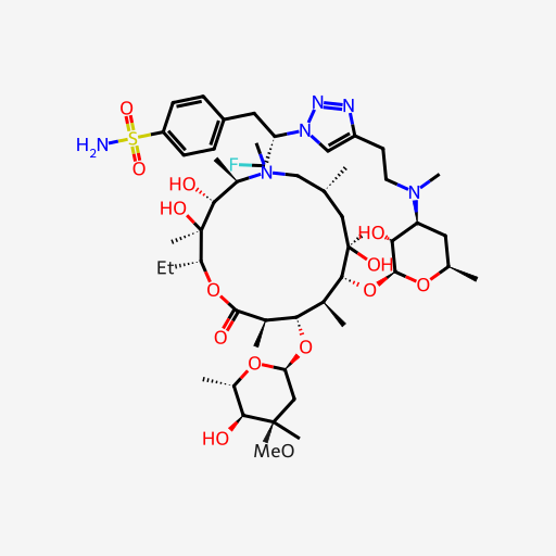 CC[C@H]1OC(=O)[C@H](C)[C@@H](O[C@H]2C[C@@](C)(OC)[C@@H](O)[C@H](C)O2)[C@H](C)[C@@H](O[C@@H]2O[C@H](C)C[C@H](N(C)CCc3cn([C@H](CF)Cc4ccc(S(N)(=O)=O)cc4)nn3)[C@H]2O)[C@](C)(O)C[C@@H](C)CN(C)[C@H](C)[C@@H](O)[C@]1(C)O